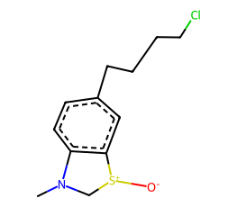 CN1C[S+]([O-])c2cc(CCCCCl)ccc21